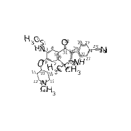 CSNc1cc2c(cc1OC1CCN(C)CC1)C(C)(C)c1[nH]c3cc(C#N)ccc3c1C2=O